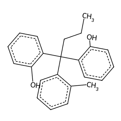 CCCC(c1ccccc1C)(c1ccccc1O)c1ccccc1O